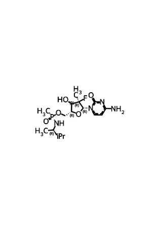 CC(C)[C@@H](C)NP(C)(=O)OC[C@H]1O[C@@H](n2ccc(N)nc2=O)[C@](C)(F)[C@@H]1O